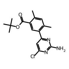 Cc1cc(C)c(-c2cc(Cl)nc(N)n2)cc1C(=O)OC(C)(C)C